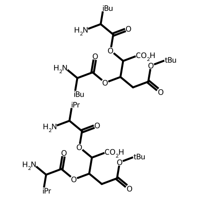 CC(C)C(N)C(=O)OC(CC(=O)OC(C)(C)C)C(OC(=O)C(N)C(C)C)C(=O)O.CCC(C)C(N)C(=O)OC(CC(=O)OC(C)(C)C)C(OC(=O)C(N)C(C)CC)C(=O)O